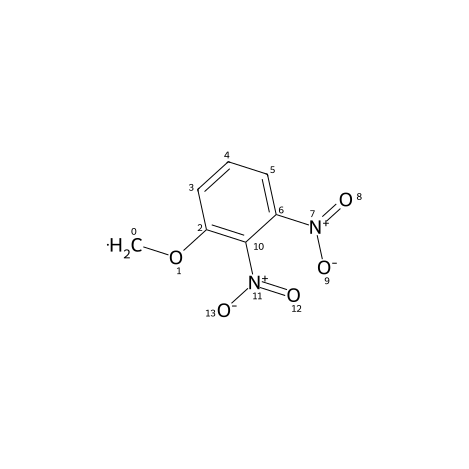 [CH2]Oc1cccc([N+](=O)[O-])c1[N+](=O)[O-]